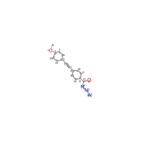 COc1ccc(C#Cc2ccc(C(=O)N=[N+]=[N-])cc2)cc1